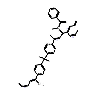 C=C/C=C(\C=C/C)C(/C=C(\C)c1ccc(C(C)(C)c2ccc(/C(N)=C/C=C\C)cc2)cc1)N(C)C(=C)c1ccccc1